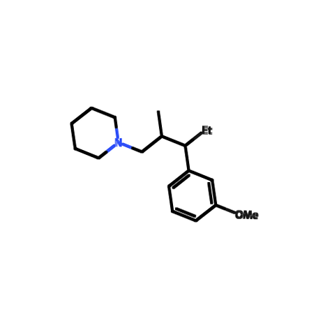 CCC(c1cccc(OC)c1)C(C)CN1CCCCC1